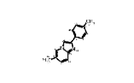 Cc1ccc(-c2[c]n3cc(C)ccc3n2)cc1